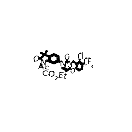 CCOC(=O)c1cn(-c2ccc3c(c2)N(C(C)=O)C(=O)C3(C)C)c(=O)n(Cc2cccc(C(F)(F)F)c2Cl)c1=O